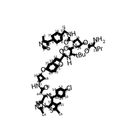 Cc1ncsc1-c1ccc([C@H](C)NC(=O)[C@@H]2C[C@@H](OC(=O)[C@@H](N)C(C)C)CN2C(=O)C(NC(=O)c2cc3cc(O[C@H]4C[C@@H](NC(=O)C[C@@H]5N=C(c6ccc(Cl)cc6)c6c(sc(C)c6C)-n6c(C)nnc65)C4)ccc3o2)C(C)(C)C)cc1